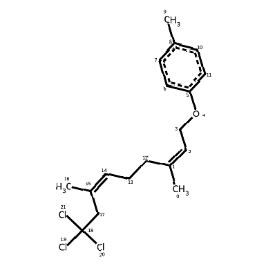 CC(=CCOc1ccc(C)cc1)CCC=C(C)CC(Cl)(Cl)Cl